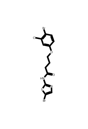 O=C(CCCOc1ccc(Br)c(Cl)c1)Nc1ncc(Br)s1